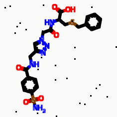 NS(=O)(=O)c1ccc(C(=O)NCc2cn(CC(=O)NC(CSCc3ccccc3)C(=O)O)nn2)cc1